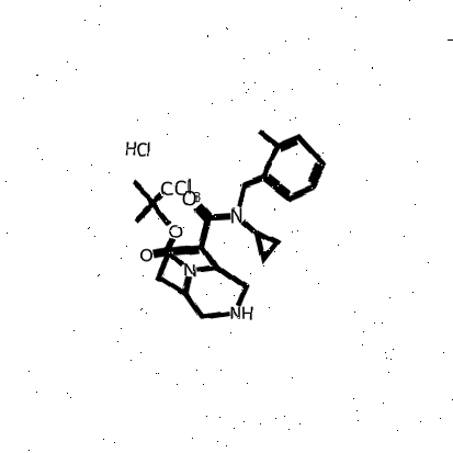 Cc1ccccc1CN(C(=O)C1=CCC2CNCC1N2C(=O)OC(C)(C)C(Cl)(Cl)Cl)C1CC1.Cl